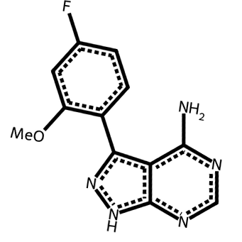 COc1cc(F)ccc1-c1n[nH]c2ncnc(N)c12